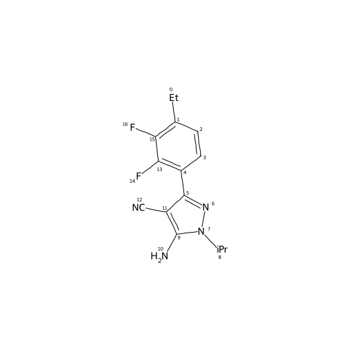 CCc1ccc(-c2nn(C(C)C)c(N)c2C#N)c(F)c1F